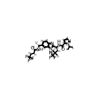 CC(C)n1nccc1C(=O)N[C@@H](CC(C)(C)C(F)(F)F)c1nc2ccc([C@@H](C)NC(=O)CCC(F)(F)F)cc2[nH]1